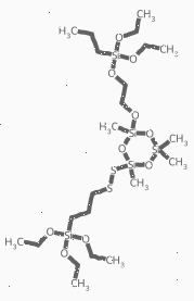 CCC[Si](OCC)(OCC)OCCO[Si]1(C)O[Si](C)(C)O[Si](C)(SSCCC[Si](OCC)(OCC)OCC)O1